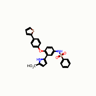 O=C(O)c1ccc(-c2cc(NS(=O)(=O)c3ccccc3)ccc2Oc2ccc(-c3cccs3)cc2)[nH]1